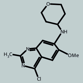 COc1cc2c(Cl)nc(C)nc2cc1NC1CCOCC1